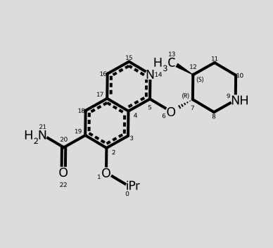 CC(C)Oc1cc2c(O[C@H]3CNCC[C@@H]3C)nccc2cc1C(N)=O